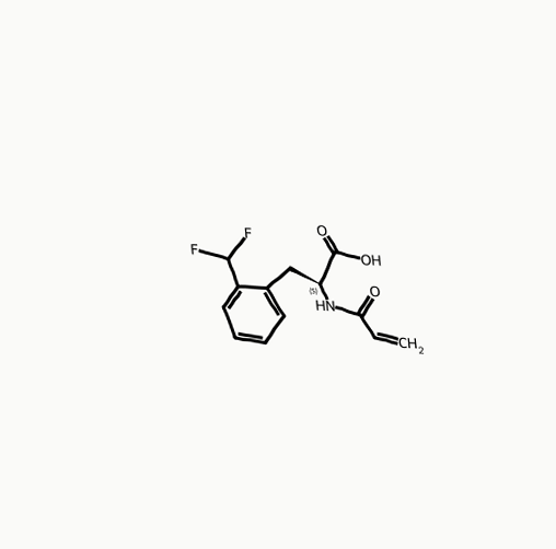 C=CC(=O)N[C@@H](Cc1ccccc1C(F)F)C(=O)O